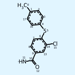 Cc1ccc(Sc2ccc(C([NH])=O)cc2Cl)cc1